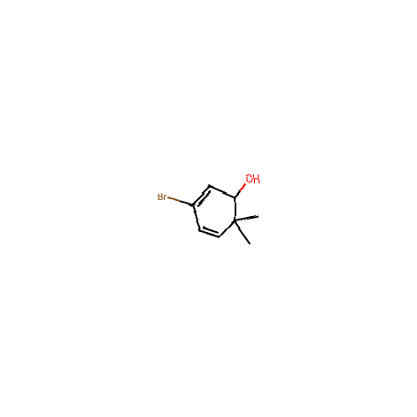 CC1(C)C=CC(Br)=CC1O